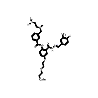 CCN(CC)CCN(C)Cc1cccc(C(=O)Nc2ccc(OCCOCCOC)cc2C(=O)N/N=C/c2ccc(Cl)c(C(F)(F)F)c2)c1